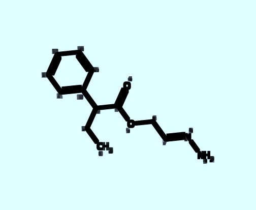 CCC(C(=O)OCC=NN)c1ccccc1